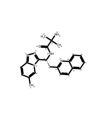 Cc1ccc2nnc([C@@H](Cc3ccc4ccccc4n3)NC(=O)C(C)(C)N)n2c1